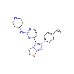 O=[N+]([O-])c1ccc(-c2nc3sccn3c2-c2ccnc(NC3CCNCC3)n2)cc1